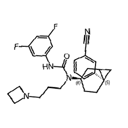 N#Cc1cccc([C@]23CC[C@@H](N(CCCN4CCC4)C(=O)Nc4cc(F)cc(F)c4)CC2C3)c1